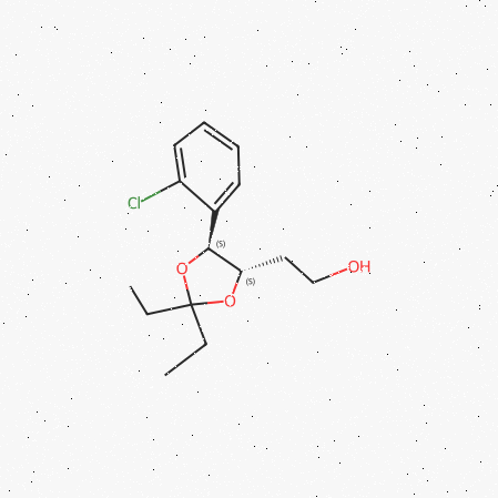 CCC1(CC)O[C@@H](CCO)[C@H](c2ccccc2Cl)O1